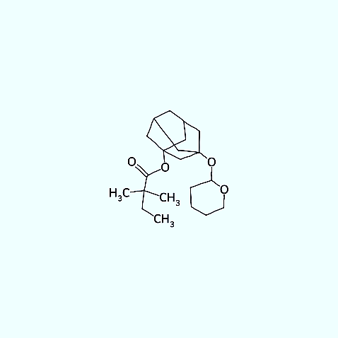 CCC(C)(C)C(=O)OC12CC3CC(C1)CC(OC1CCCCO1)(C3)C2